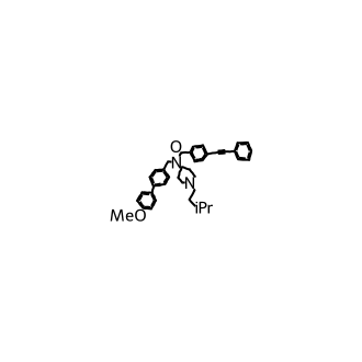 COc1ccc(-c2ccc(CN(C(=O)c3ccc(C#Cc4ccccc4)cc3)C3CCN(CCC(C)C)CC3)cc2)cc1